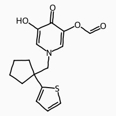 O=COc1cn(CC2(c3cccs3)CCCC2)cc(O)c1=O